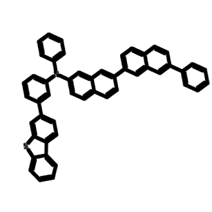 c1ccc(-c2ccc3ccc(-c4ccc5ccc(N(c6ccccc6)c6cccc(-c7ccc8c(c7)sc7ccccc78)c6)cc5c4)cc3c2)cc1